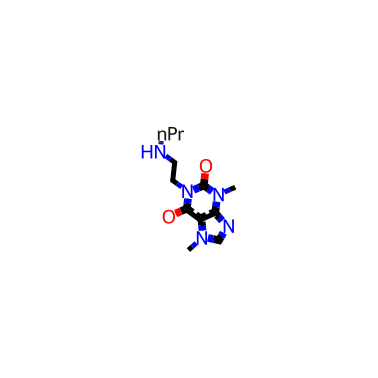 CCCNCCn1c(=O)c2c(ncn2C)n(C)c1=O